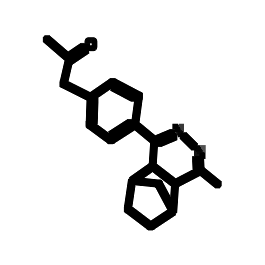 CC(=O)Cc1ccc(C2=NN=C(C)C3C4CCC(C4)C23)cc1